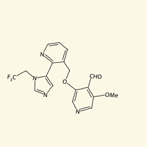 COc1cncc(OCc2cccnc2-c2cncn2CC(F)(F)F)c1C=O